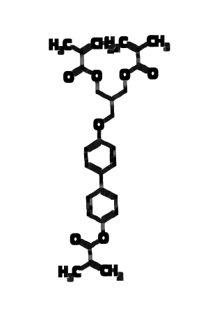 C=C(C)C(=O)OCC(COC(=O)C(=C)C)COc1ccc(-c2ccc(OC(=O)C(=C)C)cc2)cc1